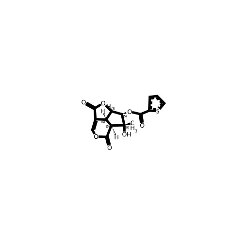 C[C@]1(O)[C@@H](OC(=O)c2cccs2)[C@H]2OC(=O)C3=COC(=O)[C@H]1[C@@H]32